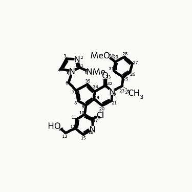 CNc1nccn1Cc1cc(-c2cc(CO)cnc2Cl)c2ccn([C@@H](C)c3cccc(OC)c3)c(=O)c2c1